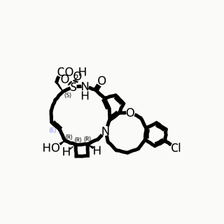 O=C(O)C[C@@H]1CC/C=C/[C@H](O)[C@@H]2CC[C@H]2CN2CCCCc3cc(Cl)ccc3COc3ccc(cc32)C(=O)NS1(=O)=O